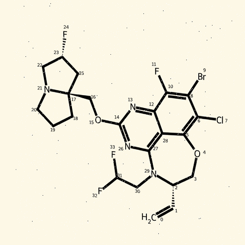 C=C[C@H]1COc2c(Cl)c(Br)c(F)c3nc(OC[C@@]45CCCN4C[C@H](F)C5)nc(c23)N1CC(F)F